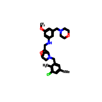 CNc1cc(Cl)c(C)c(CN2CC3CC2C(CNc2cc(CN4CCOCC4)cc(OC(F)(F)F)c2)O3)c1